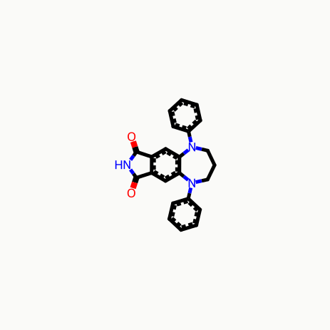 O=C1NC(=O)c2cc3c(cc21)N(c1ccccc1)CCCN3c1ccccc1